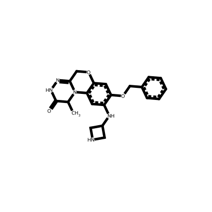 CC1C(=O)NN=C2COc3cc(OCc4ccccc4)c(NC4CNC4)cc3N21